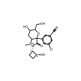 COC1CC(O)C(CO)OC1(C(=O)N[C@H]1CC[C@@H]1O)c1cc(Cl)cc(C#N)c1